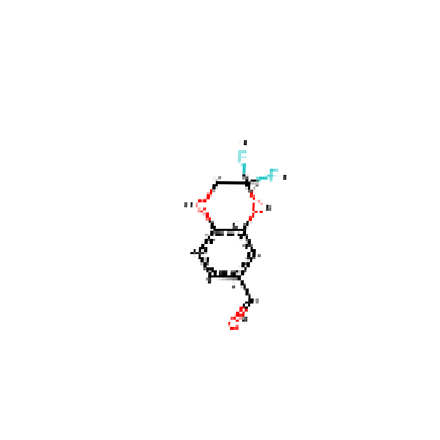 O=Cc1ccc2c(c1)OC(F)(F)CO2